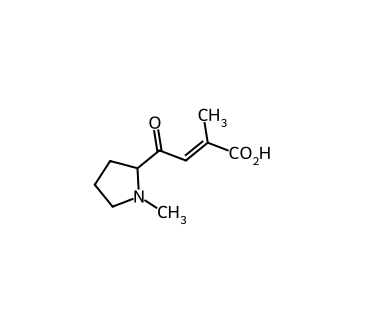 CC(=CC(=O)C1CCCN1C)C(=O)O